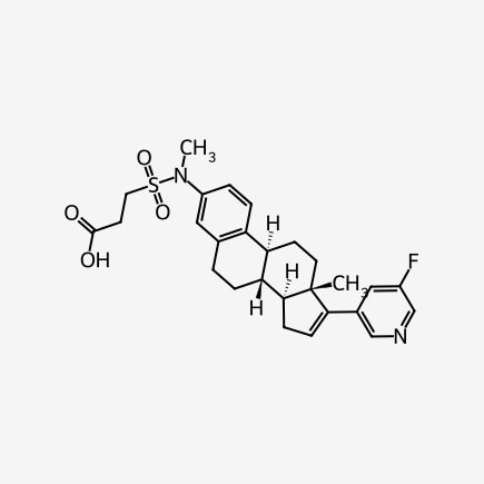 CN(c1ccc2c(c1)CC[C@@H]1[C@@H]2CC[C@]2(C)C(c3cncc(F)c3)=CC[C@@H]12)S(=O)(=O)CCC(=O)O